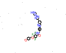 COc1ccc(COc2c(F)cc(C(=O)NC[C@]34CC[C@](n5cc6ccc(-c7cnc(N8CCNCC8)nc7)cc6n5)(CC3)CC4)c(F)c2F)cc1